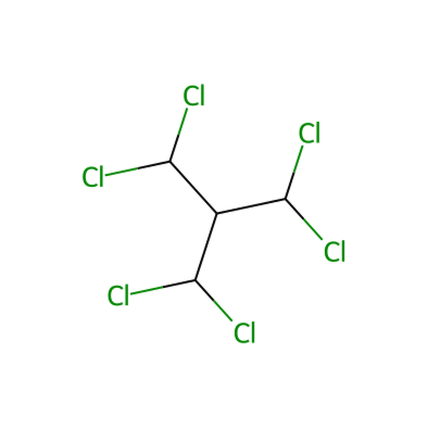 ClC(Cl)C(C(Cl)Cl)C(Cl)Cl